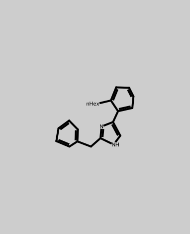 CCCCCCc1ccccc1-c1c[nH]c(Cc2ccccc2)n1